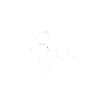 O[C@@H]1CCNC[C@H]1n1c2ccc(F)cc2c2cc(F)ccc21